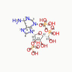 Nc1ncnc2c1ncn2[C@@H]1O[C@H](C(O)P(=O)(O)OP(=O)(O)O)[C@@H](O)[C@H]1OP(=O)(O)O